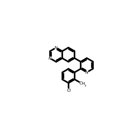 Cc1c(Cl)cccc1-c1ncccc1-c1ccc2ncncc2c1